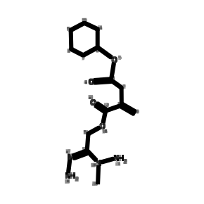 C=C(CC(=O)OC1CCCCC1)C(=O)OC/C(=N/N)N(C)N